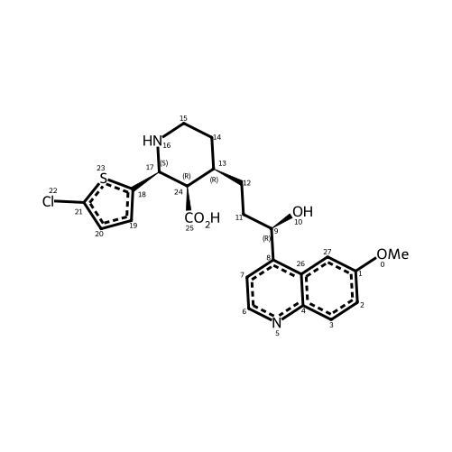 COc1ccc2nccc([C@H](O)CC[C@@H]3CCN[C@H](c4ccc(Cl)s4)[C@@H]3C(=O)O)c2c1